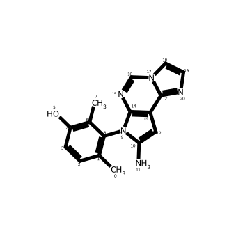 Cc1ccc(O)c(C)c1-n1c(N)cc2c1ncn1ccnc21